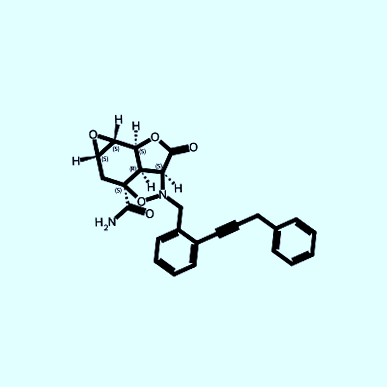 NC(=O)[C@]12C[C@@H]3O[C@@H]3[C@H]3OC(=O)[C@H]([C@H]31)N(Cc1ccccc1C#CCc1ccccc1)O2